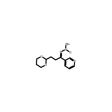 CC(C)(C)[S+]([O-])N=C(CCC1OCCCO1)c1cccnc1